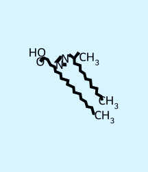 CCCCCCCCCCCC(CC)Cn1ccnc1.CCCCCCCCCCCCCCCCCC(=O)O